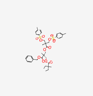 CCC(C)(CC)C(=O)OCC(C)(COC(=O)C(C)(COS(=O)(=O)c1ccc(C)cc1)COS(=O)(=O)c1ccc(C)cc1)C(=O)OCc1ccccc1